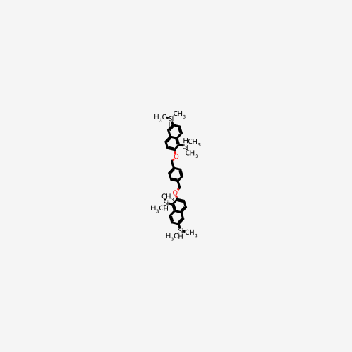 C[SiH](C)c1ccc2c([SiH](C)C)c(OCc3ccc(COc4ccc5cc([SiH](C)C)ccc5c4[SiH](C)C)cc3)ccc2c1